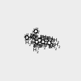 Bc1c(B)c(B)c2c(oc3c(B)c4c(c(B)c(B)c5c(-c6nc(-c7ccccc7)nc(-c7ccccc7)n6)c(B)c(B)c(B)c54)c(B)c32)c1B